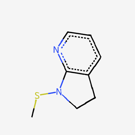 CSN1CCc2cccnc21